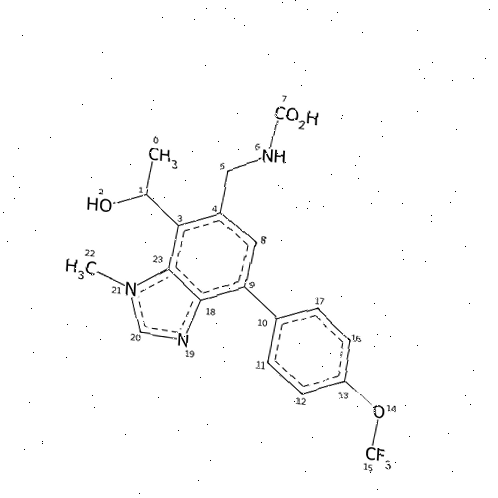 CC(O)c1c(CNC(=O)O)cc(-c2ccc(OC(F)(F)F)cc2)c2ncn(C)c12